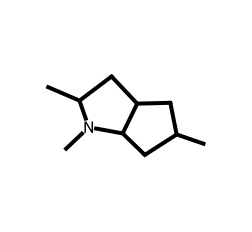 CC1CC2CC(C)N(C)C2C1